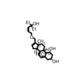 CCC(O)(/C=C\COCC1=CC[C@H]2C3=CC=C4C[C@@H](O)C[C@H](O)[C@]4(C)[C@H]3CC[C@]12C)CC